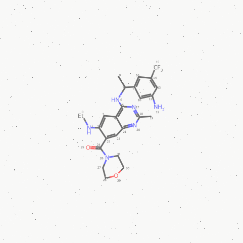 CCNc1cc2c(NC(C)c3cc(N)cc(C(F)(F)F)c3)nc(C)nc2cc1C(=O)N1CCOCC1